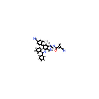 Cc1cc(C#N)ccc1-c1cc(N=C(c2ccccc2)c2ccccc2)c2cnc(NC(=O)C3CC3C#N)cc2c1